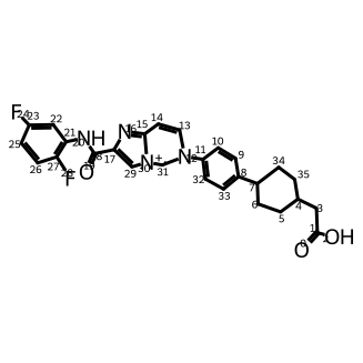 O=C(O)CC1CCC(c2ccc(N3C=CC4=NC(C(=O)Nc5cc(F)ccc5F)=C[N+]4C3)cc2)CC1